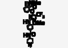 CCc1cccc(Oc2nc(Nc3ccc(C(=O)NC4CCN(C)CC4)cc3OC)ncc2C(F)(F)F)c1C(=O)NC